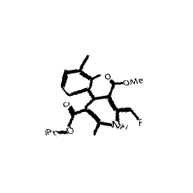 COC(=O)C1=C(CF)NC(C)=C(C(=O)OC(C)C)C1c1cccc(C)c1C